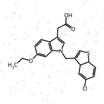 CCOc1ccc2c(CC(=O)O)cn(CC3=CSC4C=CC(Cl)=CC34)c2c1